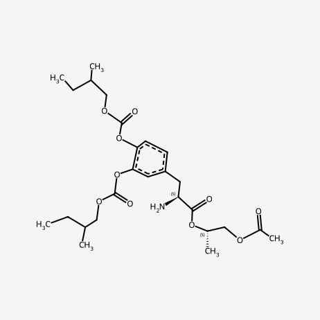 CCC(C)COC(=O)Oc1ccc(C[C@H](N)C(=O)O[C@@H](C)COC(C)=O)cc1OC(=O)OCC(C)CC